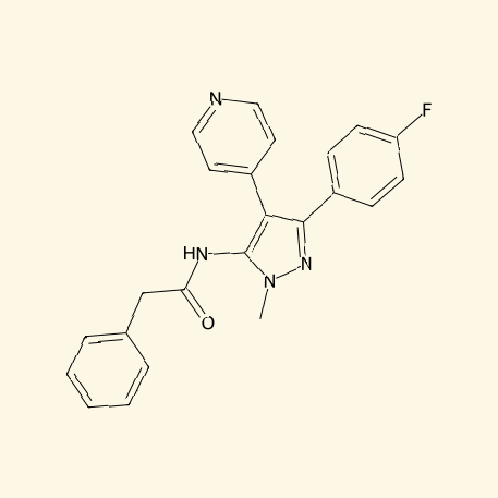 Cn1nc(-c2ccc(F)cc2)c(-c2ccncc2)c1NC(=O)Cc1ccccc1